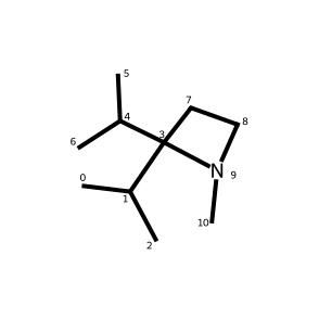 CC(C)C1(C(C)C)CCN1C